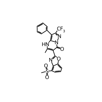 Cc1[nH]c2c(-c3ccccc3)c(C(F)(F)F)nn2c(=O)c1-c1nc2c(S(C)(=O)=O)cccc2o1